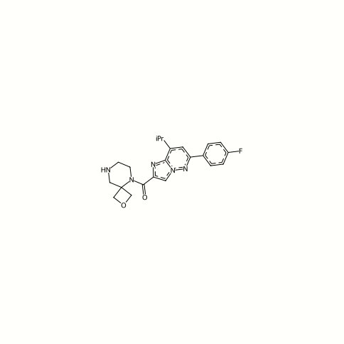 CC(C)c1cc(-c2ccc(F)cc2)nn2cc(C(=O)N3CCNCC34COC4)nc12